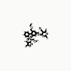 CCOCc1cc(CNc2nc(C)nc(C)c2C#N)ccc1-c1ccccc1S(=O)(=O)N(COC)c1noc(C)c1C